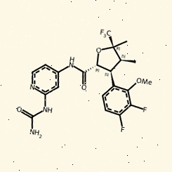 COc1c([C@H]2[C@H](C(=O)Nc3ccnc(NC(N)=O)c3)O[C@@](C)(C(F)(F)F)[C@H]2C)ccc(F)c1F